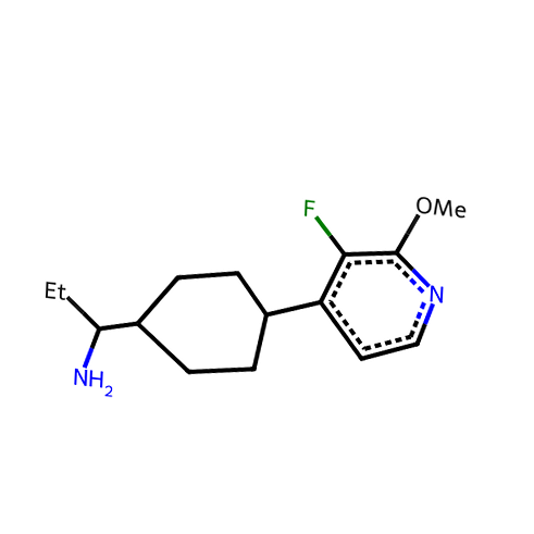 CCC(N)C1CCC(c2ccnc(OC)c2F)CC1